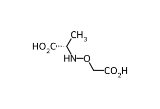 C[C@H](NOCC(=O)O)C(=O)O